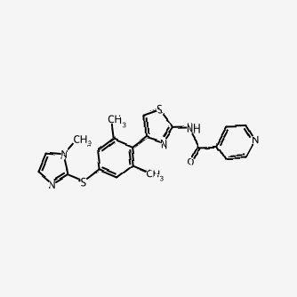 Cc1cc(Sc2nccn2C)cc(C)c1-c1csc(NC(=O)c2ccncc2)n1